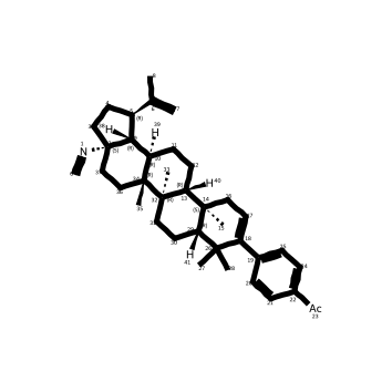 C=N[C@]12CC[C@@H](C(=C)C)[C@@H]1[C@H]1CC[C@@H]3[C@@]4(C)CC=C(c5ccc(C(C)=O)cc5)C(C)(C)[C@@H]4CC[C@@]3(C)[C@]1(C)CC2